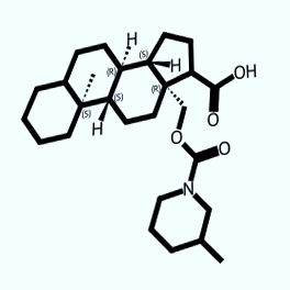 CC1CCCN(C(=O)OC[C@]23CC[C@H]4[C@@H](CCC5CCCC[C@@]54C)[C@@H]2CCC3C(=O)O)C1